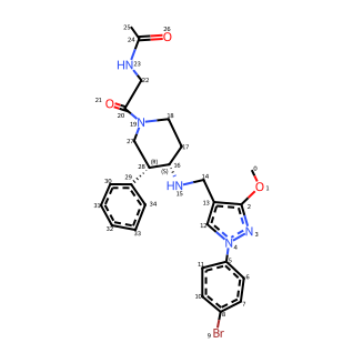 COc1nn(-c2ccc(Br)cc2)cc1CN[C@H]1CCN(C(=O)CNC(C)=O)C[C@H]1c1ccccc1